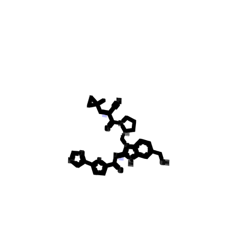 CC1(/C=C(\C#N)C(=O)N2CCC[C@@H]2Cn2/c(=N/C(=O)c3ccc(-c4cnco4)s3)[nH]c3cc(CO)ccc32)CC1